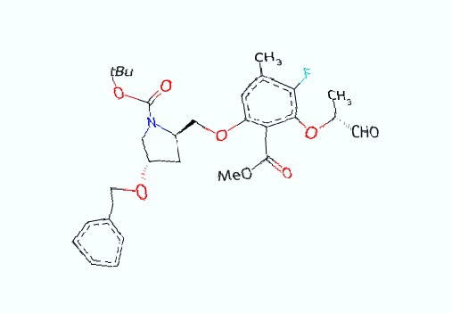 COC(=O)c1c(OC[C@H]2C[C@H](OCc3ccccc3)CN2C(=O)OC(C)(C)C)cc(C)c(F)c1O[C@H](C)C=O